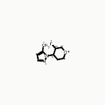 Cc1[c]cnn1C1CCOCC1F